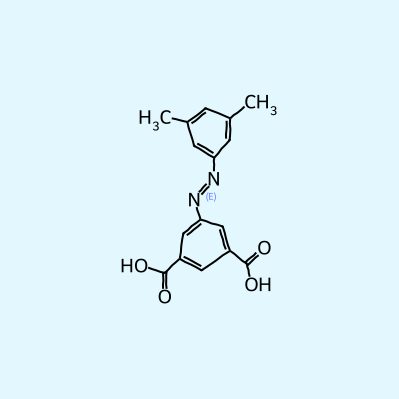 Cc1cc(C)cc(/N=N/c2cc(C(=O)O)cc(C(=O)O)c2)c1